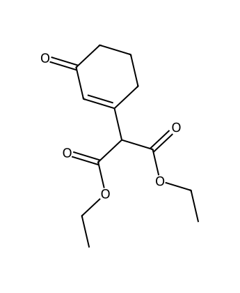 CCOC(=O)C(C(=O)OCC)C1=CC(=O)CCC1